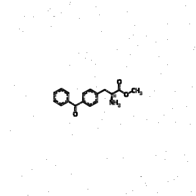 COC(=O)[C@@H](N)Cc1ccc(C(=O)c2ccccc2)cc1